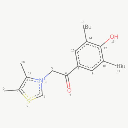 Cc1sc[n+](CC(=O)c2cc(C(C)(C)C)c(O)c(C(C)(C)C)c2)c1C